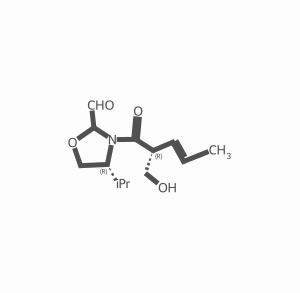 CC=C[C@H](CO)C(=O)N1C(C=O)OC[C@H]1C(C)C